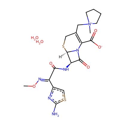 CO/N=C(/C(=O)N[C@@H]1C(=O)N2C(C(=O)[O-])=C(C[N+]3(C)CCCC3)CS[C@H]12)c1csc(N)n1.O.O